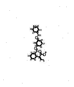 CC=C(C(=O)OC)c1ccccc1COc1cccc(OCc2ccncc2)c1